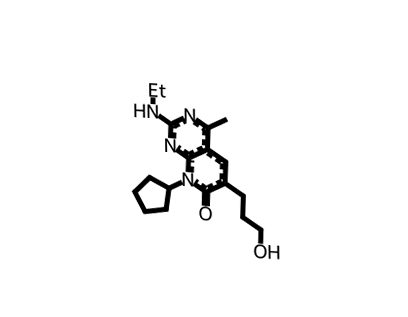 CCNc1nc(C)c2cc(CCCO)c(=O)n(C3CCCC3)c2n1